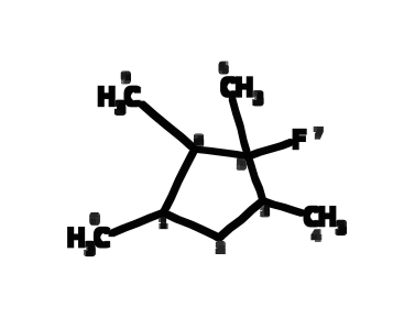 CC1CC(C)C(C)(F)C1C